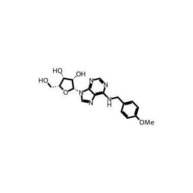 COc1ccc(CNc2ncnc3c2ncn3[C@@H]2O[C@H](CO)[C@H](O)[C@@H]2O)cc1